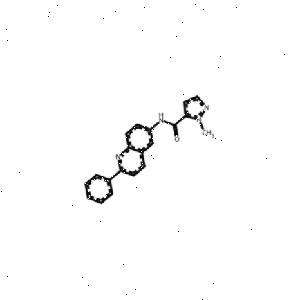 Cn1nccc1C(=O)Nc1ccc2nc(-c3ccccc3)ccc2c1